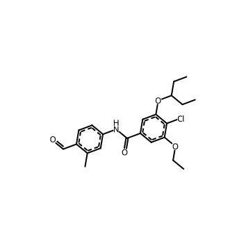 CCOc1cc(C(=O)Nc2ccc(C=O)c(C)c2)cc(OC(CC)CC)c1Cl